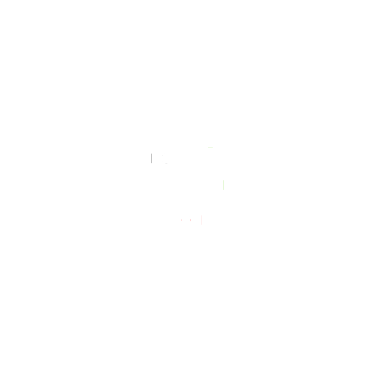 CCO.FF